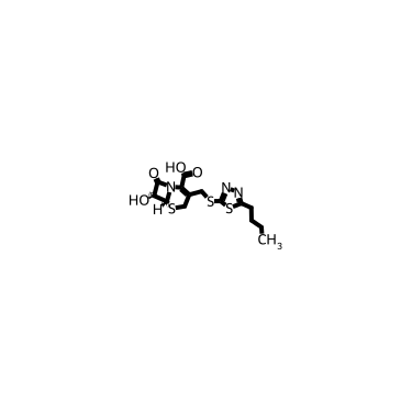 CCCCc1nnc(SCC2=C(C(=O)O)N3C(=O)[C@@H](O)[C@H]3SC2)s1